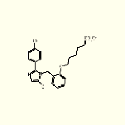 CCOC(=O)CCCCCOc1ccccc1Cn1c(Cl)cnc1-c1ccc(C(F)(F)F)cc1